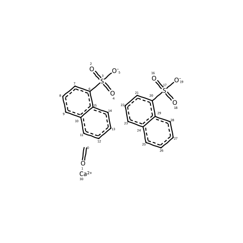 C=O.O=S(=O)([O-])c1cccc2ccccc12.O=S(=O)([O-])c1cccc2ccccc12.[Ca+2]